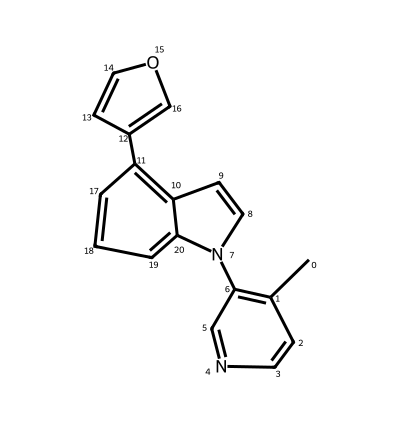 Cc1ccncc1-n1ccc2c(-c3ccoc3)cccc21